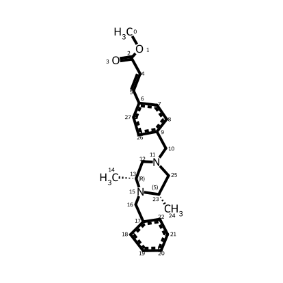 COC(=O)C=Cc1ccc(CN2C[C@@H](C)N(Cc3ccccc3)[C@@H](C)C2)cc1